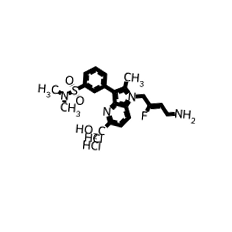 Cc1c(-c2cccc(S(=O)(=O)N(C)C)c2)c2nc(C(=O)O)ccc2n1C/C(F)=C/CN.Cl.Cl